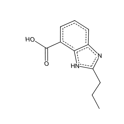 CCCc1nc2cccc(C(=O)O)c2[nH]1